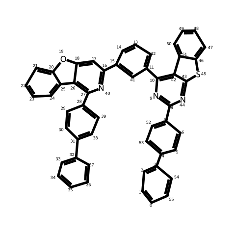 c1ccc(-c2ccc(-c3nc(-c4cccc(-c5cc6oc7ccccc7c6c(-c6ccc(-c7ccccc7)cc6)n5)c4)c4c(n3)sc3ccccc34)cc2)cc1